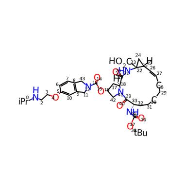 CC(C)NCCOc1ccc2c(c1)CN(C(=O)O[C@@H]1C[C@H]3C(=O)N[C@]4(C(=O)O)C[C@H]4C=CCCCCC[C@H](NC(=O)OC(C)(C)C)C(=O)N3C1)C2